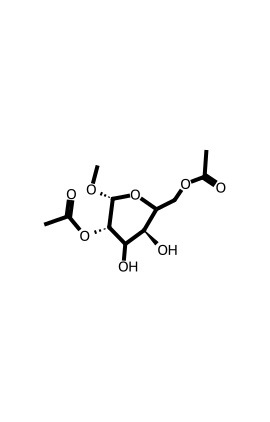 CO[C@@H]1OC(COC(C)=O)[C@@H](O)C(O)[C@@H]1OC(C)=O